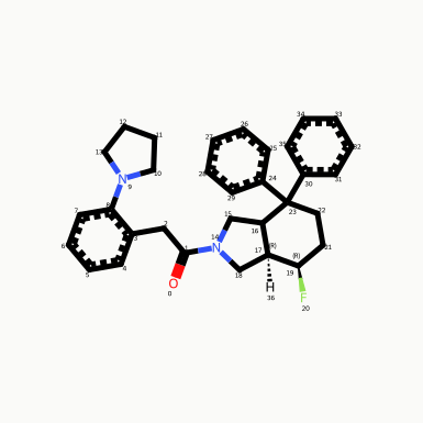 O=C(Cc1ccccc1N1CCCC1)N1CC2[C@H](C1)[C@H](F)CCC2(c1ccccc1)c1ccccc1